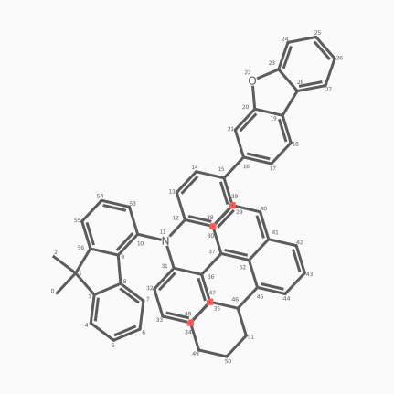 CC1(C)c2ccccc2-c2c(N(c3ccc(-c4ccc5c(c4)oc4ccccc45)cc3)c3ccccc3-c3cccc4cccc(C5CCCCC5)c34)cccc21